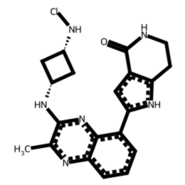 Cc1nc2cccc(-c3cc4c([nH]3)CCNC4=O)c2nc1N[C@H]1C[C@@H](NCl)C1